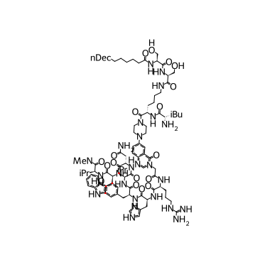 CCCCCCCCCCCCCCCC(=O)N[C@@H](CO)C(=O)N[C@@H](CO)C(=O)NCCCC[C@H](NC(=O)[C@@H](N)[C@@H](C)CC)C(=O)N1CCN(c2ccc3ncn(CC(=O)N[C@@H](CCCNC(=N)N)C(=O)N[C@@H](Cc4c[nH]cn4)C(=O)N[C@@H](Cc4ccc(O)cc4)C(=O)N[C@@H](CC(C)C)C(=O)N[C@@H](CC(N)=O)C(=O)N[C@@H](Cc4c[nH]c5ccccc45)C(=O)N[C@H](C(=O)NC)C(C)C)c(=O)c3c2)CC1